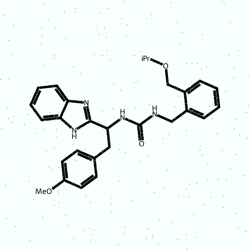 COc1ccc(CC(NC(=O)NCc2ccccc2COC(C)C)c2nc3ccccc3[nH]2)cc1